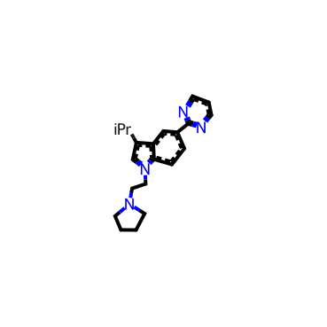 CC(C)c1cn(CCN2CCCC2)c2ccc(-c3ncccn3)cc12